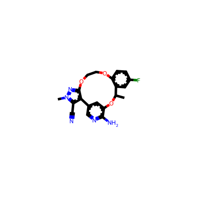 CC1Oc2cc(cnc2N)-c2c(nn(C)c2C#N)OCCOc2ccc(F)cc21